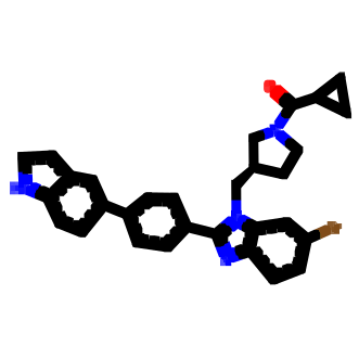 O=C(C1CC1)N1CC[C@@H](Cn2c(-c3ccc(-c4ccc5[nH]ccc5c4)cc3)nc3ccc(Br)cc32)C1